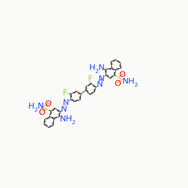 Nc1c(/N=N/c2ccc(-c3ccc(/N=N/c4cc(S(N)(=O)=O)c5ccccc5c4N)c(F)c3)cc2F)cc(S(N)(=O)=O)c2ccccc12